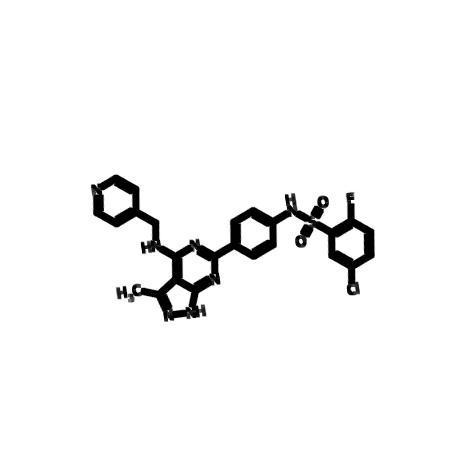 Cc1n[nH]c2nc(-c3ccc(NS(=O)(=O)c4cc(Cl)ccc4F)cc3)nc(NCc3ccncc3)c12